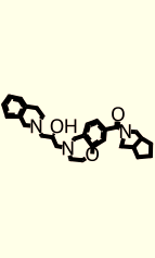 O=C(c1ccc2c(c1)OCCN(C[C@H](O)CN1CCc3ccccc3C1)C2)N1CC2CCCC2C1